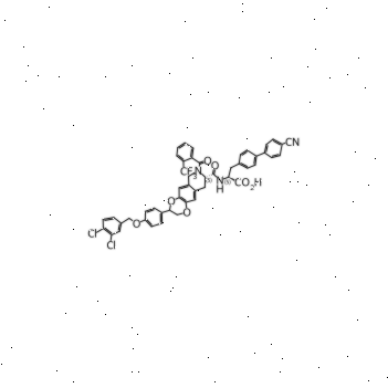 N#Cc1ccc(-c2ccc(C[C@H](NC(=O)[C@@H]3Cc4cc5c(cc4CN3C(=O)c3ccccc3C(F)(F)F)OC(c3ccc(OCc4ccc(Cl)c(Cl)c4)cc3)CO5)C(=O)O)cc2)cc1